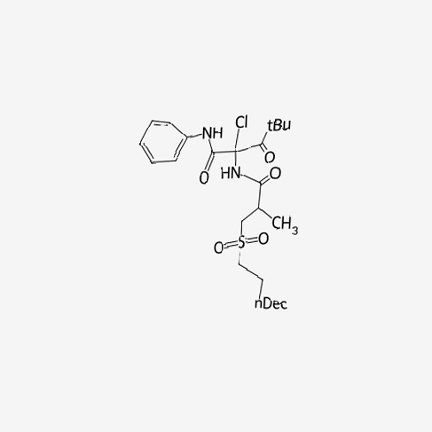 CCCCCCCCCCCCS(=O)(=O)CC(C)C(=O)NC(Cl)(C(=O)Nc1ccccc1)C(=O)C(C)(C)C